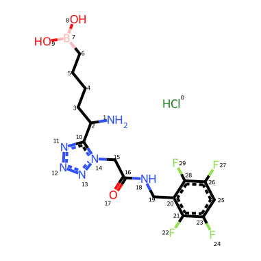 Cl.NC(CCCCB(O)O)c1nnnn1CC(=O)NCc1c(F)c(F)cc(F)c1F